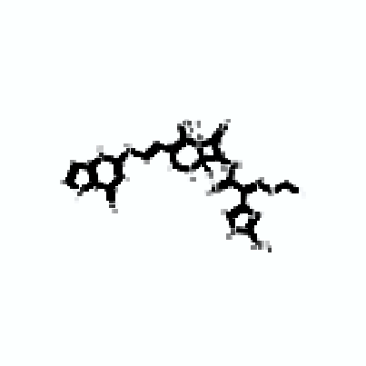 Nc1nc(C(=NOCF)C(=O)NC2C(=O)N3C(C(=O)O)=C(C=CSc4cc(=O)c5occc5s4)CS[C@@H]23)cs1